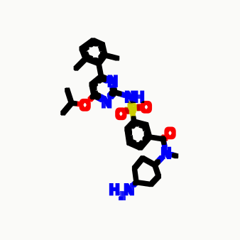 Cc1cccc(C)c1-c1cc(OC(C)C)nc(NS(=O)(=O)c2cccc(C(=O)N(C)C3CCC(N)CC3)c2)n1